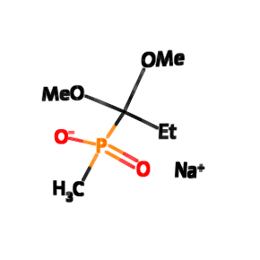 CCC(OC)(OC)P(C)(=O)[O-].[Na+]